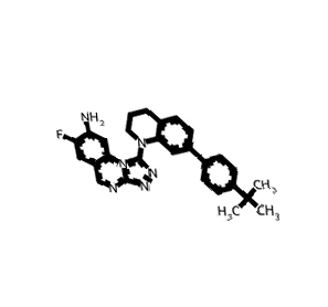 CC(C)(C)c1ccc(-c2ccc3c(c2)N(c2nnc4ncc5cc(F)c(N)cc5n24)CCC3)cc1